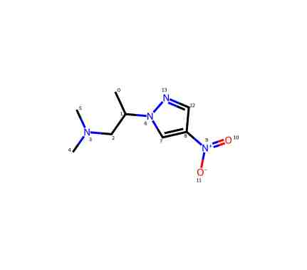 CC(CN(C)C)n1cc([N+](=O)[O-])cn1